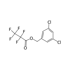 O=C(OCc1cc(Cl)cc(Cl)c1)C(F)(F)C(F)(F)F